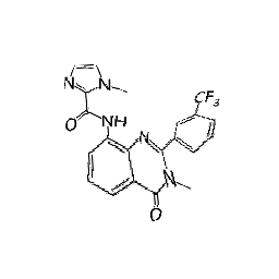 Cn1ccnc1C(=O)Nc1cccc2c(=O)n(C)c(-c3cccc(C(F)(F)F)c3)nc12